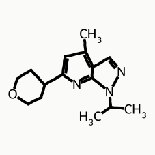 Cc1cc(C2CCOCC2)nc2c1cnn2C(C)C